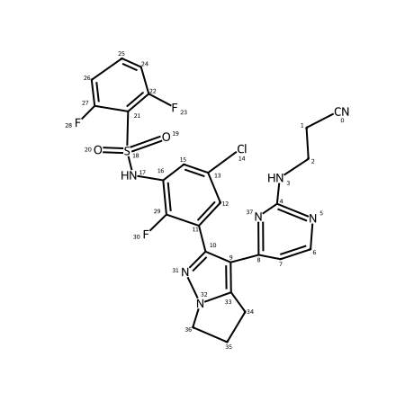 N#CCCNc1nccc(-c2c(-c3cc(Cl)cc(NS(=O)(=O)c4c(F)cccc4F)c3F)nn3c2CCC3)n1